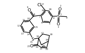 CS(=O)(=O)c1ccc(C(=O)c2cccc(SC34CCC(C=CC3=O)C4)c2)c(Cl)c1